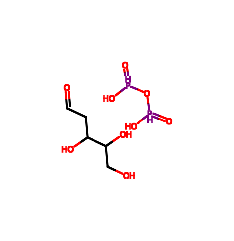 O=CCC(O)C(O)CO.O=[PH](O)O[PH](=O)O